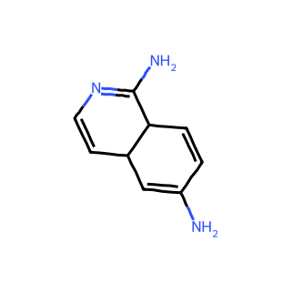 NC1=CC2C=CN=C(N)C2C=C1